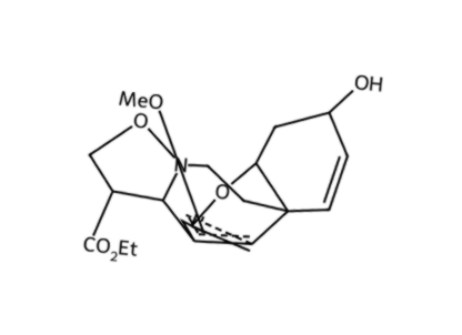 CCOC(=O)C1CON2CCC34C=CC(O)CC3Oc3c(OC)ccc(c34)C12